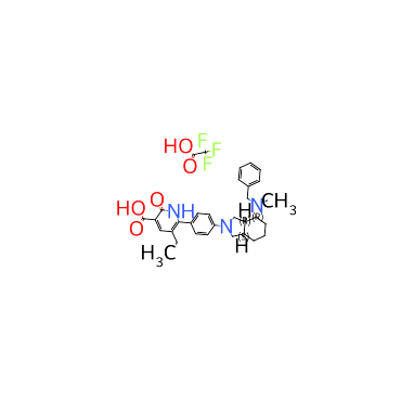 CCc1cc(C(=O)O)c(=O)[nH]c1-c1ccc(N2C[C@H]3CCC[C@@H](N(C)Cc4ccccc4)[C@H]3C2)cc1.O=C(O)C(F)(F)F